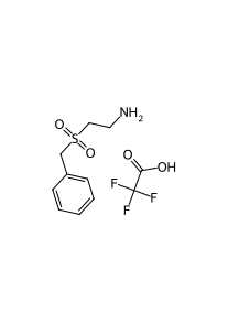 NCCS(=O)(=O)Cc1ccccc1.O=C(O)C(F)(F)F